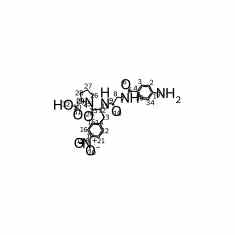 Nc1ccc(C(=O)NCC(=O)NC(Cc2ccc([N+](=O)[O-])cc2)C(=O)N2CCC[C@H]2C(=O)O)cc1